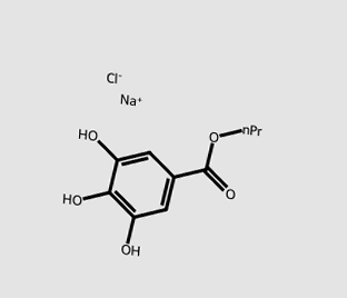 CCCOC(=O)c1cc(O)c(O)c(O)c1.[Cl-].[Na+]